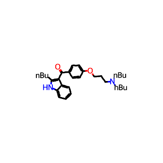 CCCCc1[nH]c2ccccc2c1C(=O)c1ccc(OCCCN(CCCC)CCCC)cc1